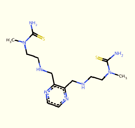 CN(CCNCc1nccnc1CNCCN(C)C(N)=S)C(N)=S